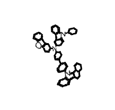 c1ccc(-n2c3ccccc3c3cc(N(c4ccc(-c5ccc(-n6c7ccccc7c7ccc8ccccc8c76)cc5)cc4)c4ccc5oc6ccccc6c5c4)ccc32)cc1